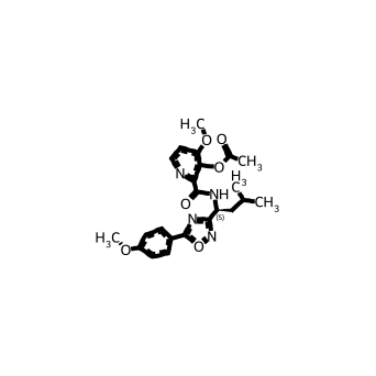 COc1ccc(-c2nc([C@H](CC(C)C)NC(=O)c3nccc(OC)c3OC(C)=O)no2)cc1